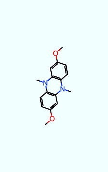 COc1ccc2c(c1)N(C)c1ccc(OC)cc1N2C